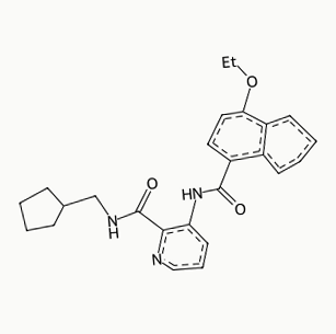 CCOc1ccc(C(=O)Nc2cccnc2C(=O)NCC2CCCC2)c2ccccc12